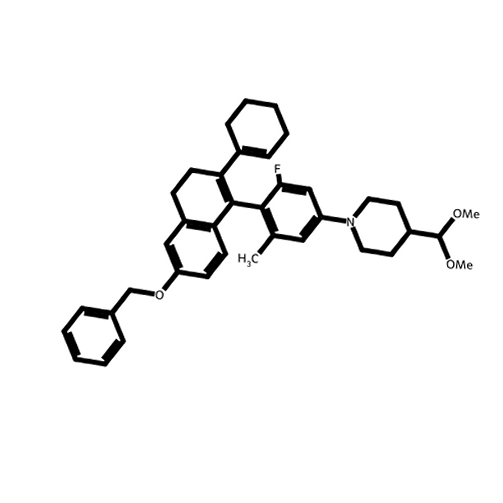 COC(OC)C1CCN(c2cc(C)c(C3=C(C4=CCCCC4)CCc4cc(OCc5ccccc5)ccc43)c(F)c2)CC1